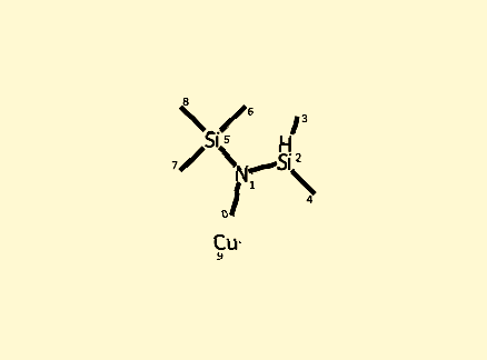 CN([SiH](C)C)[Si](C)(C)C.[Cu]